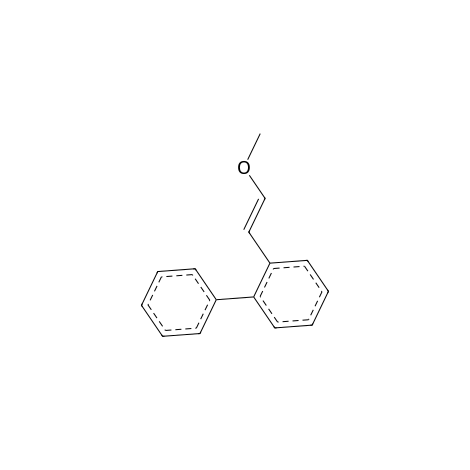 COC=Cc1ccccc1-c1ccccc1